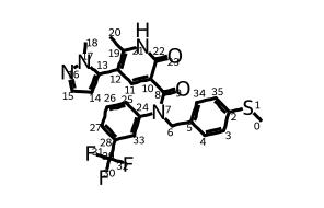 CSc1ccc(CN(C(=O)c2cc(-c3ccnn3C)c(C)[nH]c2=O)c2cccc(C(F)(F)F)c2)cc1